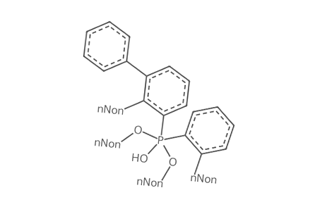 CCCCCCCCCOP(O)(OCCCCCCCCC)(c1ccccc1CCCCCCCCC)c1cccc(-c2ccccc2)c1CCCCCCCCC